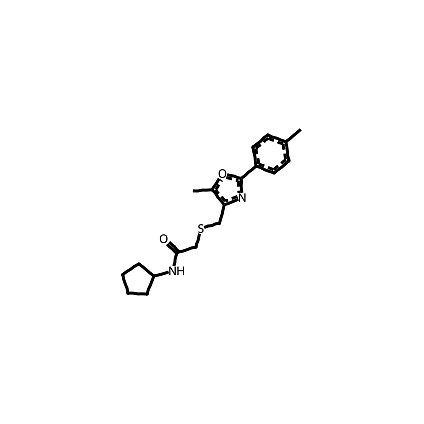 Cc1ccc(-c2nc(CSCC(=O)NC3CCCC3)c(C)o2)cc1